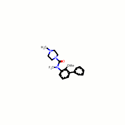 COc1c(-c2ccccc2)cccc1N(C(=O)N1CCN(C)CC1)C(F)(F)F